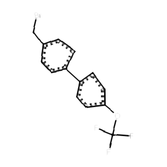 FC(F)(F)Oc1ccc(-c2ccc(CBr)cc2)cc1